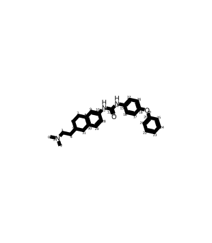 CN(C)CCC1CCc2cc(NC(=O)Nc3ccc(Oc4ccccc4)cc3)ccc2C1